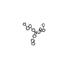 c1ccc(-c2cccc3c(-c4ccc(N(c5ccc(-c6ccc7ccccc7c6)cc5)c5ccc6c(c5)oc5c(-c7ccccc7)cccc56)cc4)cccc23)cc1